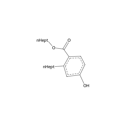 CCCCCCCOC(=O)c1ccc(O)cc1CCCCCCC